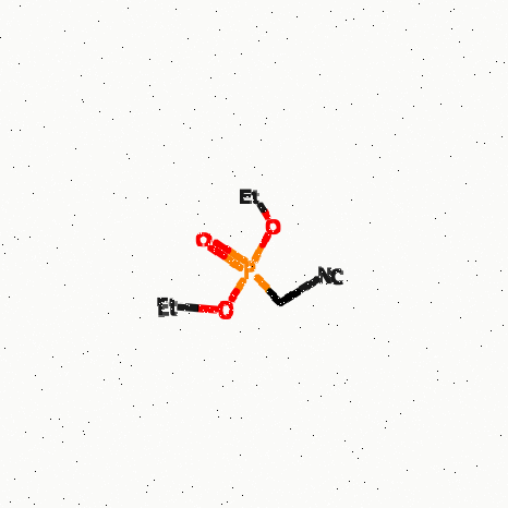 [C-]#[N+]CP(=O)(OCC)OCC